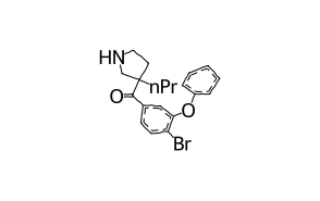 CCCC1(C(=O)c2ccc(Br)c(Oc3ccccc3)c2)CCNC1